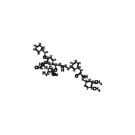 Cc1ccc(CNC(=O)Cc2cccc(CCNC[C@@H](O[Si](C)(C)C(C)(C)C)c3ccc(OCc4ccccc4)c(NC=O)c3)c2)cc1C